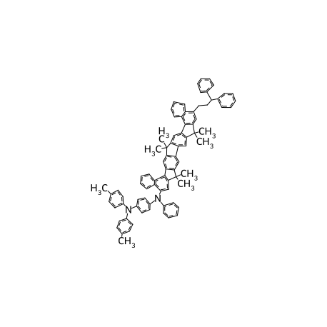 Cc1ccc(N(c2ccc(C)cc2)c2ccc(N(c3ccccc3)c3cc4c(c5ccccc35)-c3cc5c(cc3C4(C)C)-c3cc4c(cc3C5(C)C)-c3c(cc(CCC(c5ccccc5)c5ccccc5)c5ccccc35)C4(C)C)cc2)cc1